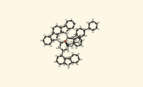 C1=CC(n2c3ccccc3c3ccc4c5ccccc5n(-c5nc(-c6ccccc6)nc(-c6cccc7sc8ccccc8c67)n5)c4c32)=C2c3ccc(-c4ccccc4)cc3OC2C1